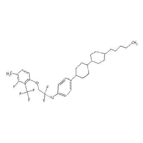 CCCCCC1CCC(C2CCC(c3ccc(OC(F)(F)COc4ccc(C)c(F)c4C(F)(F)F)cc3)CC2)CC1